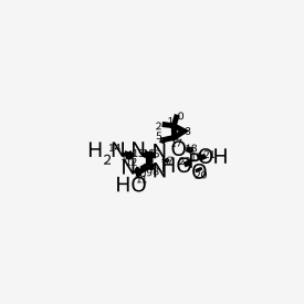 CC1(C)CC1(Cn1cnc2c(O)nc(N)nc21)OCP(=O)(O)O